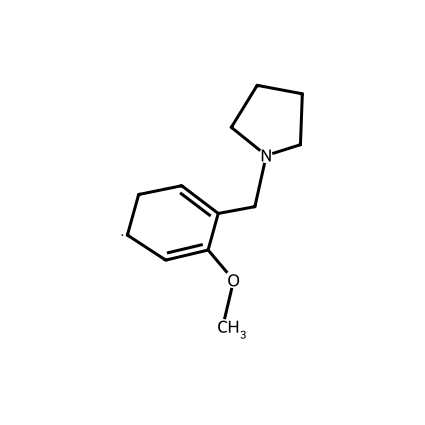 COC1=C[CH]CC=C1CN1CCCC1